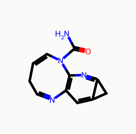 NC(=O)N1C=CCC=Nc2cc3c(nc21)C3